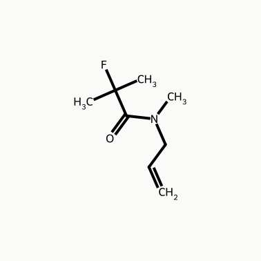 C=CCN(C)C(=O)C(C)(C)F